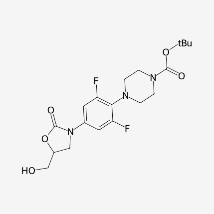 CC(C)(C)OC(=O)N1CCN(c2c(F)cc(N3CC(CO)OC3=O)cc2F)CC1